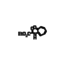 CCOC(=O)C(=O)Nc1cccccc1=O